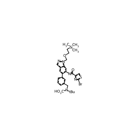 CC(C)(C)N(Cc1cccc(-c2cc3cnn(COCC[Si](C)(C)C)c3cc2NC(=O)c2csc(Br)n2)c1)C(=O)O